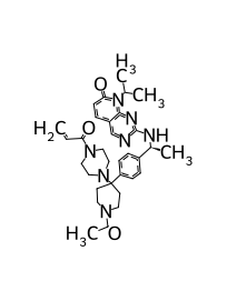 C=CC(=O)N1CCN(C2(c3ccc([C@H](C)Nc4ncc5ccc(=O)n(C(C)C)c5n4)cc3)CCN(C(C)=O)CC2)CC1